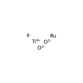 [Ir].[O-2].[O-2].[Ru].[Ti+4]